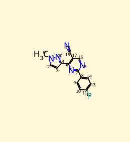 Cn1ccc(-c2nc(-c3ccc(F)cc3)ncc2C#N)n1